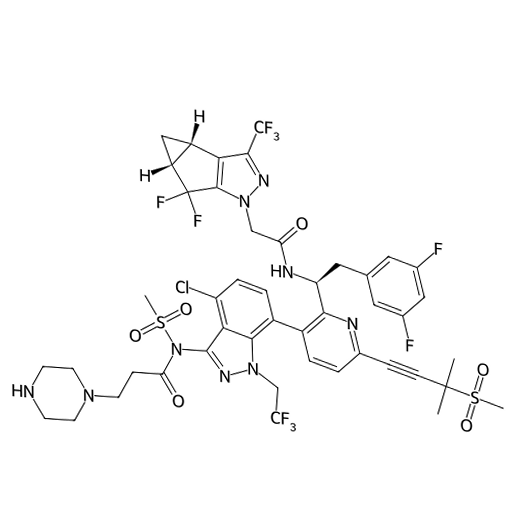 CC(C)(C#Cc1ccc(-c2ccc(Cl)c3c(N(C(=O)CCN4CCNCC4)S(C)(=O)=O)nn(CC(F)(F)F)c23)c([C@H](Cc2cc(F)cc(F)c2)NC(=O)Cn2nc(C(F)(F)F)c3c2C(F)(F)[C@@H]2C[C@H]32)n1)S(C)(=O)=O